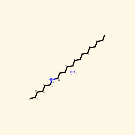 CCCCCCCCCCCCCCNCCCCCC.N